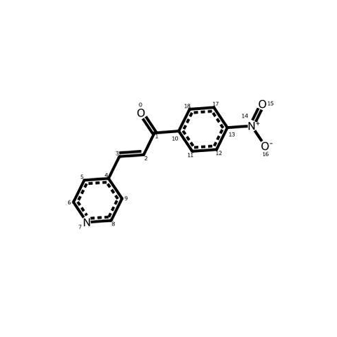 O=C(/C=C/c1ccncc1)c1ccc([N+](=O)[O-])cc1